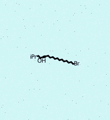 CC(C)C[C@H](O)C#CCCCCCCCCCCCCBr